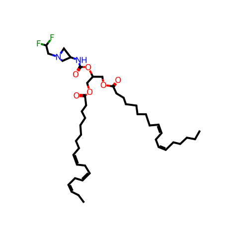 CC/C=C\C/C=C\C/C=C\CCCCCCCC(=O)OCC(COC(=O)CCCCCCC/C=C\C/C=C\CCCCC)OC(=O)NC1CN(CC(F)F)C1